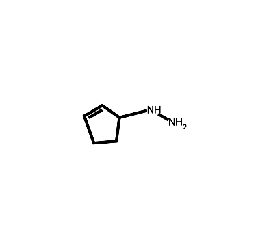 NNC1C=CCC1